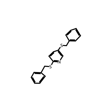 c1ccc(CSc2ccc(SCc3ccccc3)nc2)cc1